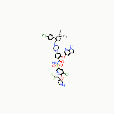 CC1(C)CCC(CN2CCN(c3ccc(C(=O)NS(=O)(=O)c4cnc(O[C@@]5(CC(F)F)CCNC5)c(Cl)c4)c(Oc4cnc5[nH]ccc5c4)c3)CC2)=C(c2ccc(Cl)cc2)C1